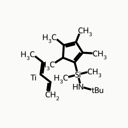 C=C/C=C/C.CC1=C(C)C(C)C([Si](C)(C)NC(C)(C)C)=C1C.[Ti]